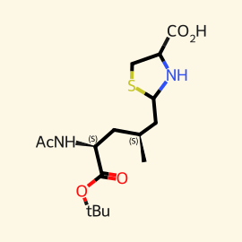 CC(=O)N[C@@H](C[C@H](C)CC1NC(C(=O)O)CS1)C(=O)OC(C)(C)C